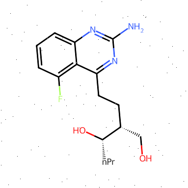 CCC[C@H](O)[C@@H](CO)CCc1nc(N)nc2cccc(F)c12